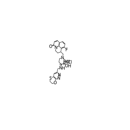 Cl.Cl.O=c1ccc2ccc(F)c3c2n1CCC3CN1CC[C@H](NCc2cc3c(nn2)OCCS3)[C@H](O)C1